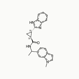 CC(NC(=O)[C@H]1C[C@@H]1c1nc2ccccc2[nH]1)c1ccc2ccn(C)c2c1